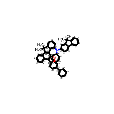 CC1(C)c2ccccc2-c2ccc(N(c3cccc4c3-c3c(c5ccccc5c5c3oc3cc(-c6ccccc6)ccc35)C4(C)C)C3C=CC=CC3)cc21